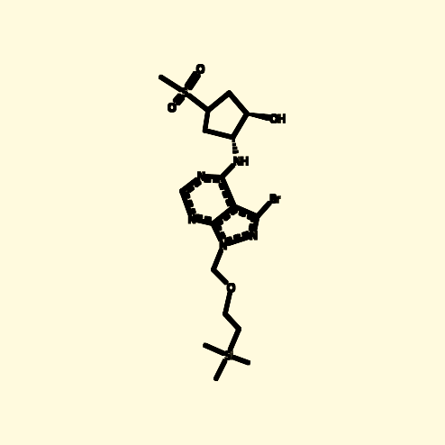 C[Si](C)(C)CCOCn1nc(Br)c2c(N[C@@H]3CC(S(C)(=O)=O)C[C@H]3O)ncnc21